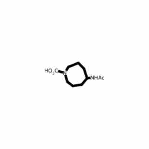 CC(=O)NC1CCCN(C(=O)O)CCC1